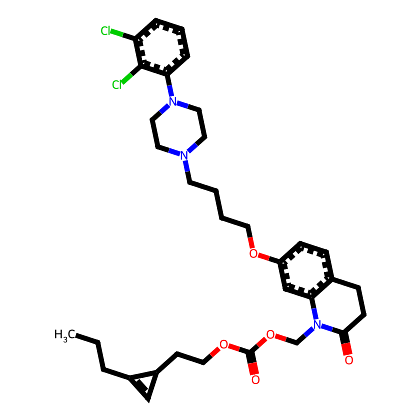 CCCC1=CC1CCOC(=O)OCN1C(=O)CCc2ccc(OCCCCN3CCN(c4cccc(Cl)c4Cl)CC3)cc21